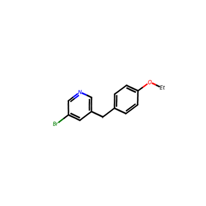 CCOc1ccc([CH]c2cncc(Br)c2)cc1